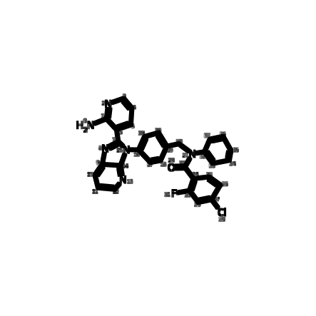 Nc1ncccc1-c1nc2cccnc2n1-c1ccc(CN(C(=O)c2ccc(Cl)cc2F)c2ccccc2)cc1